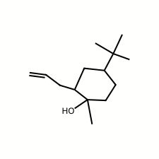 C=CCC1CC(C(C)(C)C)CCC1(C)O